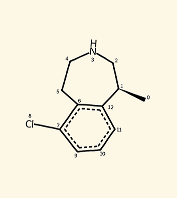 C[C@@H]1CNCCc2c(Cl)cccc21